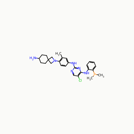 Cc1cc(Nc2ncc(Cl)c(Nc3ccccc3P(C)C)n2)ccc1N1CC2(CCC(N)CC2)C1